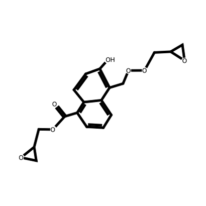 O=C(OCC1CO1)c1cccc2c(COOCC3CO3)c(O)ccc12